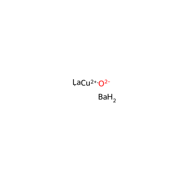 [BaH2].[Cu+2].[La].[O-2]